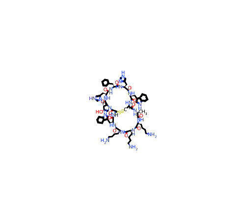 C[C@@H]1NC(=O)[C@@H]2CSS[C@H](NC(=O)[C@H](Cc3c[nH]c4ccccc34)NC(=O)[C@H](CCCCN)NC(=O)[C@H](CCCCN)NC(=O)[C@H](CCCCN)NC1=O)C(=O)N1C[C@H](O)C[C@H]1C(=O)N[C@@H](Cc1c[nH]cn1)C(=O)N[C@H](Cc1ccccc1)C(=O)N[C@@H](Cc1c[nH]cn1)C(=O)N[C@@H](Cc1c[nH]c3ccccc13)C(=O)N2